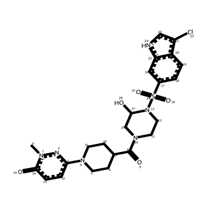 Cn1nc(N2CCC(C(=O)N3CCN(S(=O)(=O)c4ccc5c(Cl)c[nH]c5c4)C(O)C3)CC2)ccc1=O